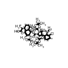 CC(=O)O[C@@H]1C(C)=CC2[C@H](C(C)C(=O)O)CC[C@@H](C)[C@@]2(O)[C@@H]1OC(=O)[C@@H]1C[C@@]2(OC(=O)OC(C)(C)C)c3cccc(Cl)c3N(C)O[C@H]2N1C(=O)OC(C)(C)C